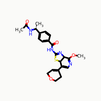 COC1=NC=C(C2=CCOCC2)C2SC(NC(=O)c3ccc([C@@H](C)NC(C)=O)cc3)=NC12